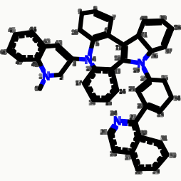 CN1CC(N2C3=C(C=CCC3)C3=C(c4ccccc42)N(C2=CC(c4nccc5ccccc45)=CCC2)C2C=CC=CC32)=Cc2ccccc21